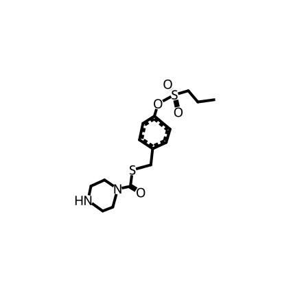 CCCS(=O)(=O)Oc1ccc(CSC(=O)N2CCNCC2)cc1